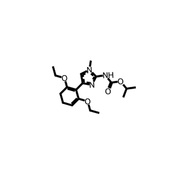 CCOC1=CCCC(OCC)=C1c1cn(C)c(NC(=O)OC(C)C)n1